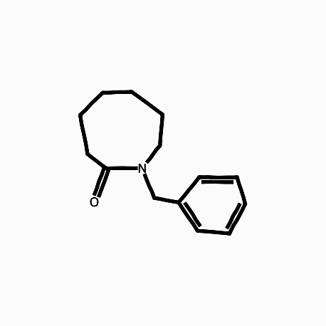 O=C1CCCCCCN1Cc1ccccc1